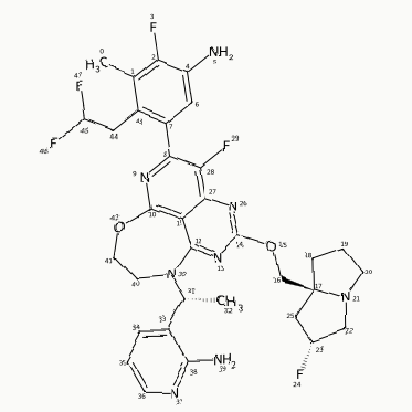 Cc1c(F)c(N)cc(-c2nc3c4c(nc(OC[C@@]56CCCN5C[C@H](F)C6)nc4c2F)N([C@H](C)c2cccnc2N)CCO3)c1CC(F)F